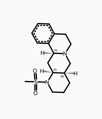 CS(=O)(=O)N1CCC[C@@H]2CN3CCc4ccccc4[C@@H]3C[C@@H]21